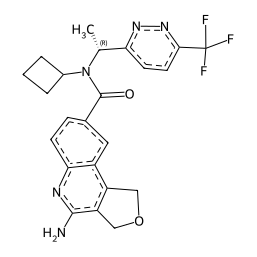 C[C@H](c1ccc(C(F)(F)F)nn1)N(C(=O)c1ccc2nc(N)c3c(c2c1)COC3)C1CCC1